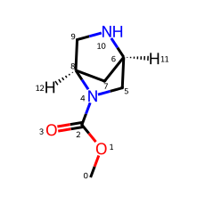 COC(=O)N1C[C@H]2C[C@@H]1CN2